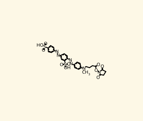 CN(CCCC(=O)ON1C(=O)CCC1=O)c1ccc(N=Nc2ccc(N=Nc3ccc(S(=O)(=O)O)cc3)cc2S(=O)(=O)O)cc1